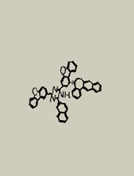 c1ccc2c(c1)-c1cc3ccccc3cc1CC[C@H]2c1cc(C2=NC(c3ccc4oc5ccccc5c4c3)=NC(c3ccc4ccccc4c3)N2)cc2oc3ccccc3c12